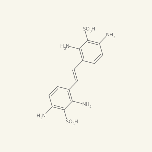 Nc1ccc(/C=C/c2ccc(N)c(S(=O)(=O)O)c2N)c(N)c1S(=O)(=O)O